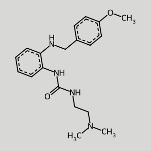 COc1ccc(CNc2ccccc2NC(=O)NCCN(C)C)cc1